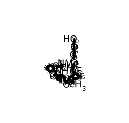 CNC(C)C(=O)N[C@H](C(=O)N1CCN(C(=O)c2cc3c(OCCOCCOCCOCCO)c(F)c(F)cc3n2C)CC1)C1CCCCC1